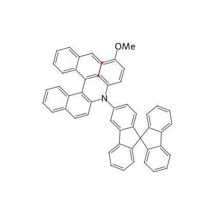 COc1ccc(N(c2ccc3c(c2)-c2ccccc2C32c3ccccc3-c3ccccc32)c2ccc3ccccc3c2-c2cccc3ccccc23)cc1